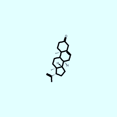 C=C(C)[C@H]1CC[C@H]2[C@@H]3CC=C4CC(=O)CC[C@]4(C)C3CC[C@]12C